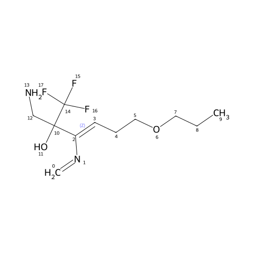 C=N/C(=C\CCOCCC)C(O)(CN)C(F)(F)F